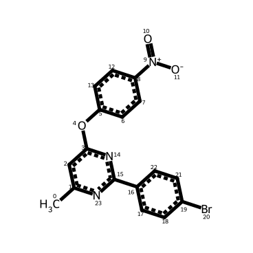 Cc1cc(Oc2ccc([N+](=O)[O-])cc2)nc(-c2ccc(Br)cc2)n1